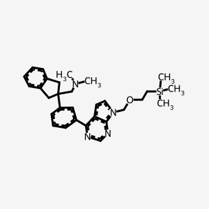 CN(C)CC1(c2cccc(-c3ncnc4c3ccn4COCC[Si](C)(C)C)c2)Cc2ccccc2C1